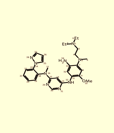 CCN(CC)CCN(C)c1cc(OC)c(Nc2cc(N(C)c3ccccc3-n3cccn3)ncn2)cc1N